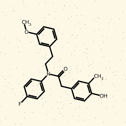 COc1cccc(CCN(C(=O)Cc2ccc(O)c(C)c2)c2ccc(F)cc2)c1